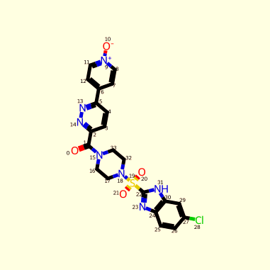 O=C(c1ccc(-c2cc[n+]([O-])cc2)nn1)N1CCN(S(=O)(=O)c2nc3ccc(Cl)cc3[nH]2)CC1